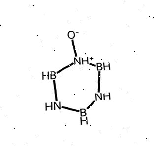 [O-][NH+]1BNBNB1